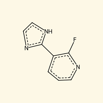 Fc1ncccc1-c1ncc[nH]1